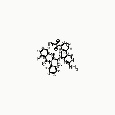 CCC(Nc1nc(N)ncc1-c1cncc(S(=O)(=O)C(C)C)c1)c1nc2cccc(F)c2c(=O)n1-c1ccccc1